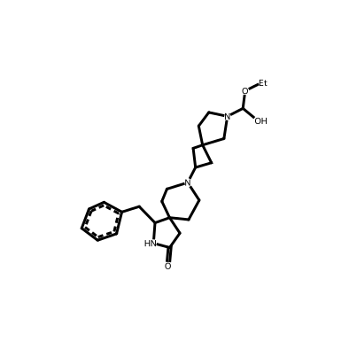 CCOC(O)N1CCC2(CC(N3CCC4(CC3)CC(=O)NC4Cc3ccccc3)C2)C1